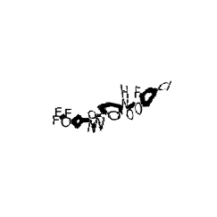 O=C(COc1ccc(Cl)cc1F)N[C@@H]1CC[C@@H](c2nnc(C3CC(OC(F)(F)F)C3)o2)OC1